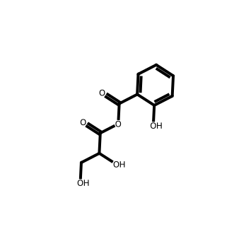 O=C(OC(=O)C(O)CO)c1ccccc1O